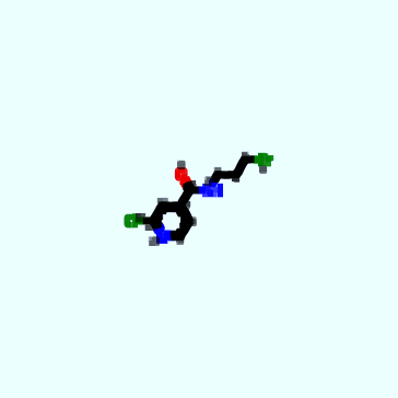 O=C(NCCCBr)c1ccnc(Cl)c1